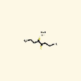 CCCC(=S)C(=S)CCC.[NaH].[NaH]